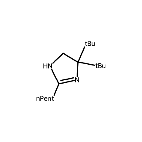 CCCCCC1=NC(C(C)(C)C)(C(C)(C)C)CN1